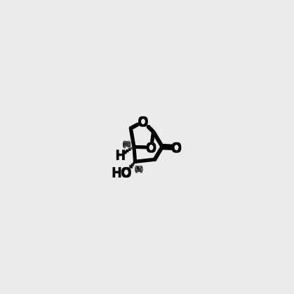 O=C1C[C@H](O)[C@H]2COC1O2